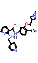 CN1CC(COc2cc(NC(=O)c3cccnc3NCc3ccncc3)ccc2C(C)(C)C)C1